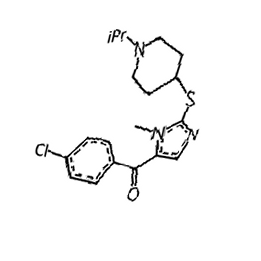 CC(C)N1CCC(Sc2ncc(C(=O)c3ccc(Cl)cc3)n2C)CC1